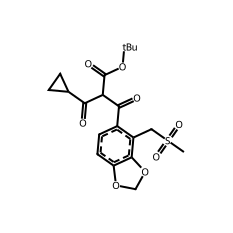 CC(C)(C)OC(=O)C(C(=O)c1ccc2c(c1CS(C)(=O)=O)OCO2)C(=O)C1CC1